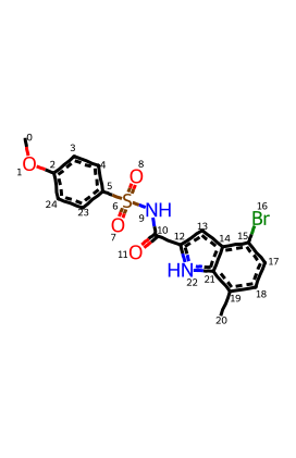 COc1ccc(S(=O)(=O)NC(=O)c2cc3c(Br)ccc(C)c3[nH]2)cc1